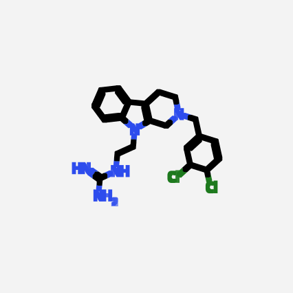 N=C(N)NCCn1c2c(c3ccccc31)CCN(CC1=CC(Cl)C(Cl)C=C1)C2